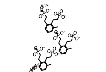 Cc1cccc(CCP(=O)([O-])[O-])c1CCP(=O)([O-])[O-].Cc1cccc(CCP(=O)([O-])[O-])c1CCP(=O)([O-])[O-].Cc1cccc(CCP(=O)([O-])[O-])c1CCP(=O)([O-])[O-].[Al+3].[Al+3].[Al+3].[Al+3]